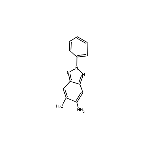 Cc1cc2nn(-c3ccccc3)nc2cc1N